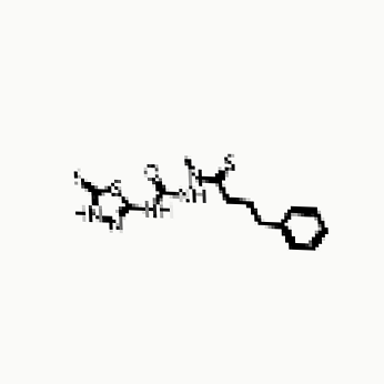 CN(NC(=O)Nc1n[nH]c(=S)s1)C(=S)CCCc1ccccc1